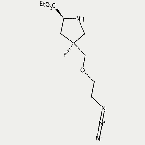 CCOC(=O)[C@@H]1C[C@](F)(COCCN=[N+]=[N-])CN1